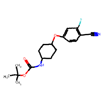 CC(C)(C)OC(=O)NC1CCC(Oc2ccc(C#N)c(F)c2)CC1